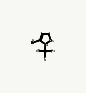 FC(F)(F)N1O[CH]C=C1Br